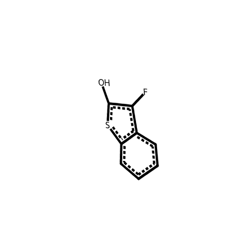 Oc1sc2ccccc2c1F